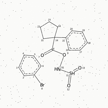 Brc1ccccc1.O=C(ON[SH](=O)=O)C1(c2ccccc2)CCCC1